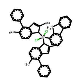 CCC(C)C1=Cc2c(ccc(C(C)CC)c2-c2ccccc2)[CH]1[Zr]([Cl])([Cl])([c]1cccc2c1[SiH2]c1ccccc1-2)[CH]1C(C(C)CC)=Cc2c1ccc(C(C)CC)c2-c1ccccc1